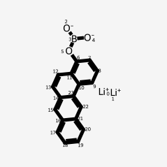 [Li+].[Li+].[O-]B([O-])Oc1cccc2c1ccc1cc3ccccc3cc12